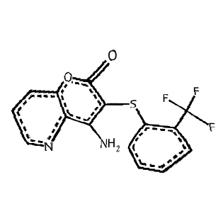 Nc1c(Sc2ccccc2C(F)(F)F)c(=O)oc2cccnc12